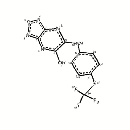 Oc1nc2nonc2nc1Nc1ccc(SC(F)(F)F)cc1